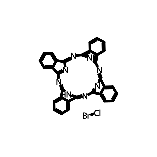 ClBr.c1ccc2c(c1)-c1nc-2nc2[nH]c(nc3nc(nc4[nH]c(n1)c1ccccc41)-c1ccccc1-3)c1ccccc21